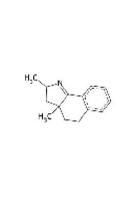 CC1CC2(C)CCc3ccccc3C2=N1